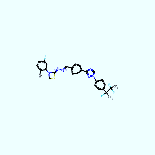 CC(C)c1ccc(F)cc1N1CS/C1=N\N=C\c1ccc(-c2ncn(-c3ccc(C(F)(C(F)(F)F)C(F)(F)C(F)(F)F)cc3)n2)cc1